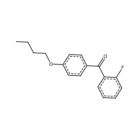 CCCCOc1ccc(C(=O)c2ccccc2F)cc1